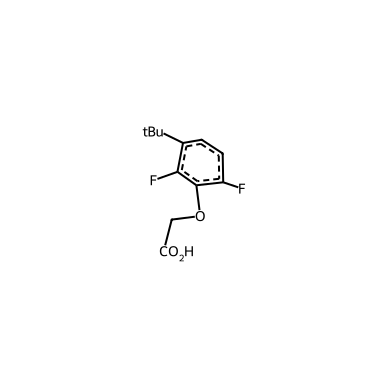 CC(C)(C)c1ccc(F)c(OCC(=O)O)c1F